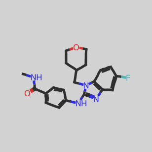 CNC(=O)c1ccc(Nc2nc3cc(F)ccc3n2CC2CCOCC2)cc1